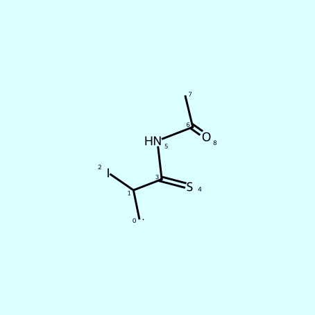 [CH2]C(I)C(=S)NC(C)=O